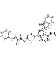 Nc1ncnn2c(C3CCC(CNC(=O)OCc4ccccc4)CC3)nc(-c3cc4ccccc4[nH]3)c12